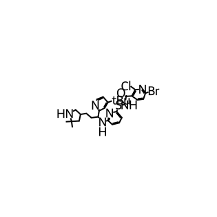 CC1(C)CC(CCC(Nc2cccc(SNC(=O)c3ccc(Br)nc3Cl)n2)c2cc(C(C)(C)C)ccn2)CN1